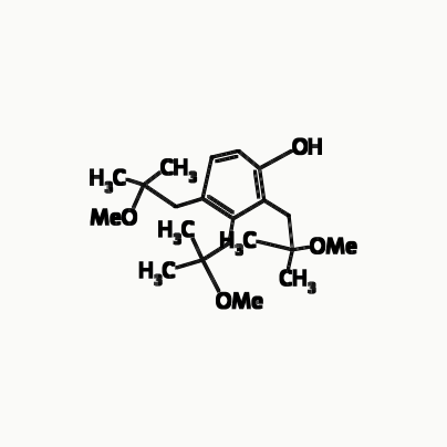 COC(C)(C)Cc1ccc(O)c(CC(C)(C)OC)c1CC(C)(C)OC